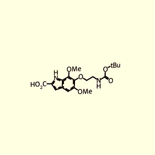 COc1cc2cc(C(=O)O)[nH]c2c(OC)c1OCCNC(=O)OC(C)(C)C